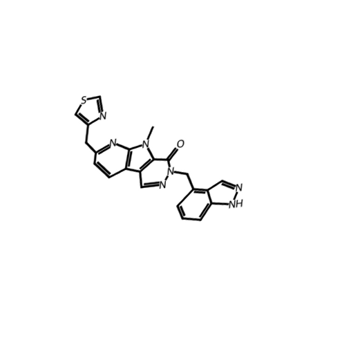 Cn1c2nc(Cc3cscn3)ccc2c2cnn(Cc3cccc4[nH]ncc34)c(=O)c21